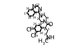 CNCCC(C(=O)N1CCN(c2ncnc3ccccc23)CC1)c1ccc(Cl)c(Cl)c1